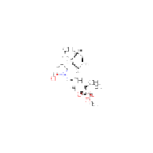 C=CN1CCCC1=O.C=C[Si](OCC)(OCC)OCC.C=Cc1ccccc1